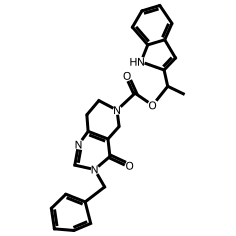 CC(OC(=O)N1CCc2ncn(Cc3ccccc3)c(=O)c2C1)c1cc2ccccc2[nH]1